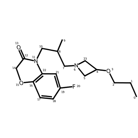 CCCOC1CN(CC(C)CN2C(=O)COc3ccc(F)cc32)C1